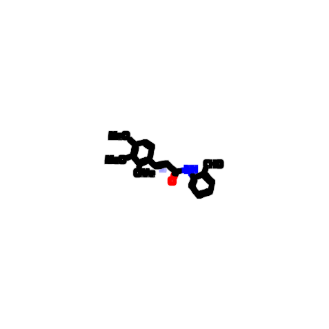 COc1ccc(/C=C/C(=O)Nc2ccccc2C=O)c(OC)c1OC